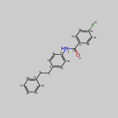 O=C(Nc1ccc(CCc2ccccc2)cc1)c1ccc(F)cc1